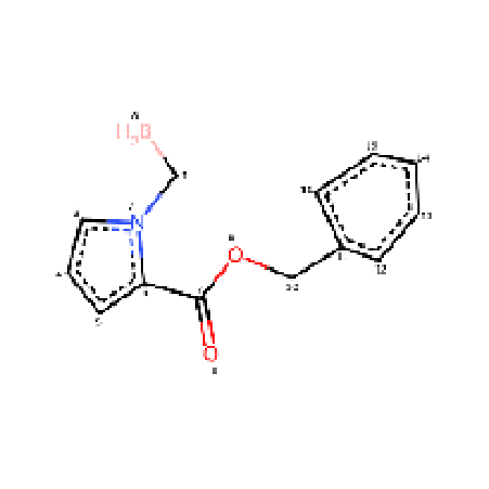 BCn1cccc1C(=O)OCc1ccccc1